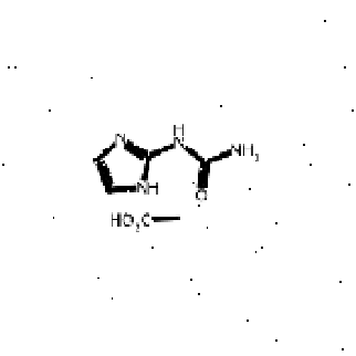 CC(=O)O.NC(=O)Nc1ncc[nH]1